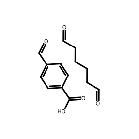 O=CCCCCC=O.O=Cc1ccc(C(=O)O)cc1